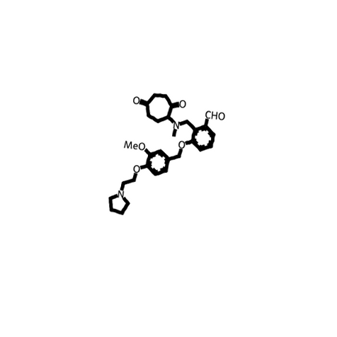 COc1cc(COc2cccc(C=O)c2CN(C)C2CCC(=O)CCC2=O)ccc1OCCN1CCCC1